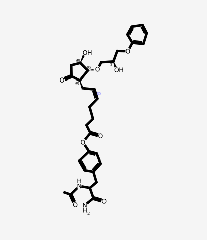 CC(=O)NC(Cc1ccc(OC(=O)CCC/C=C\C[C@H]2C(=O)C[C@@H](O)[C@@H]2OC[C@H](O)COc2ccccc2)cc1)C(N)=O